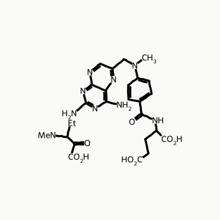 CCC(NC)C(=O)C(=O)O.CN(Cc1cnc2nc(N)nc(N)c2n1)c1ccc(C(=O)NC(CCC(=O)O)C(=O)O)cc1